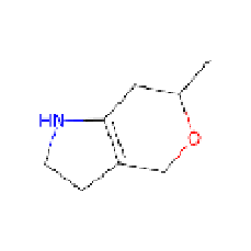 CC1CC2=C(CCN2)CO1